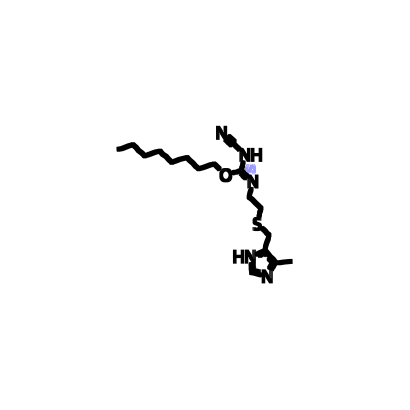 CCCCCCCCO/C(=N\CCSCc1[nH]cnc1C)NC#N